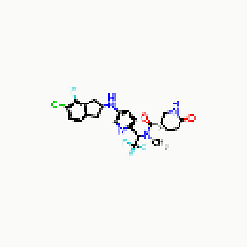 CN(C(=O)[C@H]1CCC(=O)NC1)C(c1ccc(NC2Cc3ccc(Cl)c(F)c3C2)cn1)C(F)(F)F